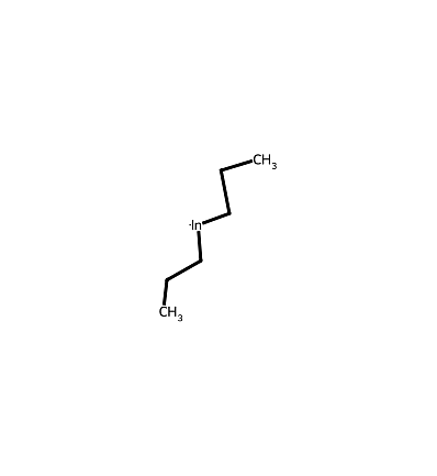 CC[CH2][In][CH2]CC